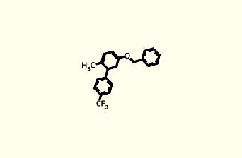 CC1=[C]C=C(OCc2ccccc2)CC1c1ccc(C(F)(F)F)cc1